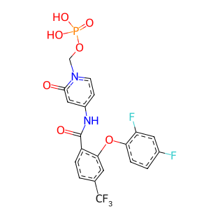 O=C(Nc1ccn(COP(=O)(O)O)c(=O)c1)c1ccc(C(F)(F)F)cc1Oc1ccc(F)cc1F